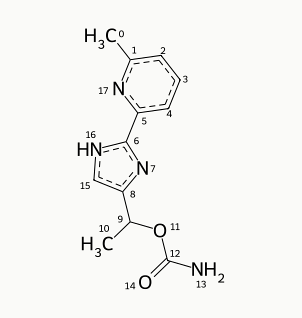 Cc1cccc(-c2nc(C(C)OC(N)=O)c[nH]2)n1